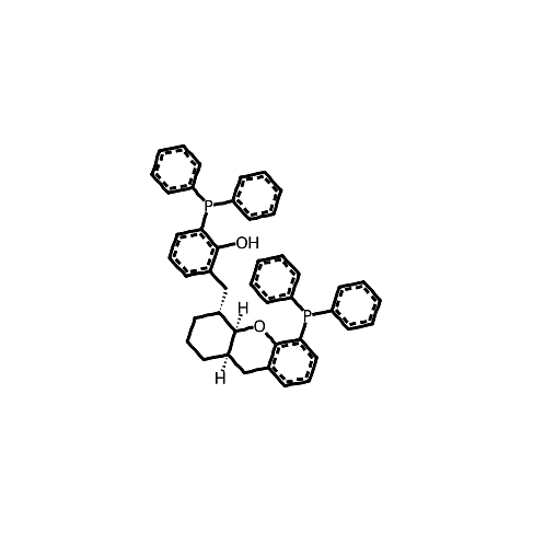 Oc1c(C[C@H]2CCC[C@@H]3Cc4cccc(P(c5ccccc5)c5ccccc5)c4O[C@H]23)cccc1P(c1ccccc1)c1ccccc1